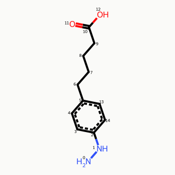 NNc1ccc(CCCCC(=O)O)cc1